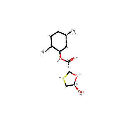 CC(C)C1CC[C@@H](C)CC1OC(=O)[C@@H]1O[C@@H](O)CS1